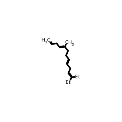 C=CCC=C(C)CCC=CCC=C(CC)CC